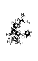 CC(C)C(=O)Nc1nc2c(ncn2[C@@H]2O[C@H](CO)[C@@H](O[Si](C)(C)C(C)(C)C)[C@H]2O[PH](=O)O)c(=O)[nH]1.c1ccncc1